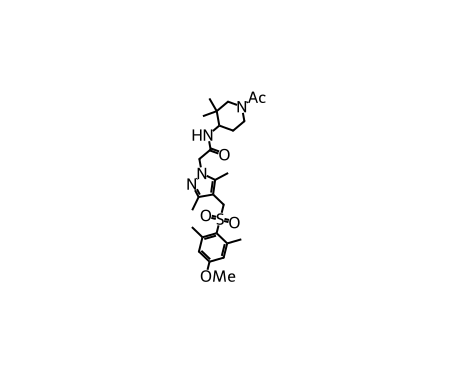 COc1cc(C)c(S(=O)(=O)Cc2c(C)nn(CC(=O)NC3CCN(C(C)=O)CC3(C)C)c2C)c(C)c1